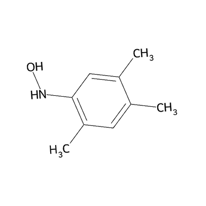 Cc1cc(C)c(NO)cc1C